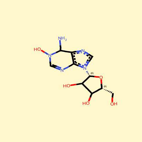 NC1c2ncn([C@@H]3O[C@H](CO)C(O)C3O)c2N=CN1O